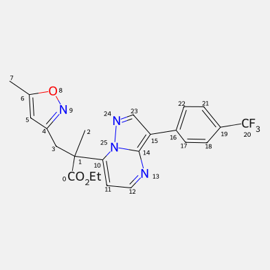 CCOC(=O)C(C)(Cc1cc(C)on1)c1ccnc2c(-c3ccc(C(F)(F)F)cc3)cnn12